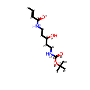 C/C=C/C(=O)NCCC(O)CCNC(=O)OC(C)(C)C